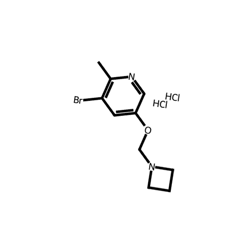 Cc1ncc(OCN2CCC2)cc1Br.Cl.Cl